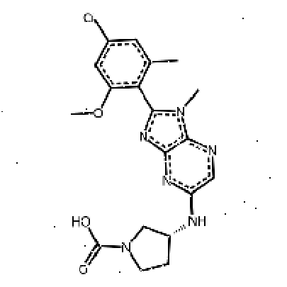 COc1cc(Cl)cc(C)c1-c1nc2nc(N[C@@H]3CCN(C(=O)O)C3)cnc2n1C